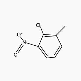 [CH2]c1cccc([N+](=O)[O-])c1Cl